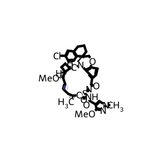 COc1nn(C)cc1C(=O)NS1(=O)=NC(=O)c2ccc3c(c2)N(C[C@@H]2CC[C@H]2[C@@H](OC)/C=C/C[C@H](C)C1)C[C@@]1(CCCc2cc(Cl)ccc21)CO3